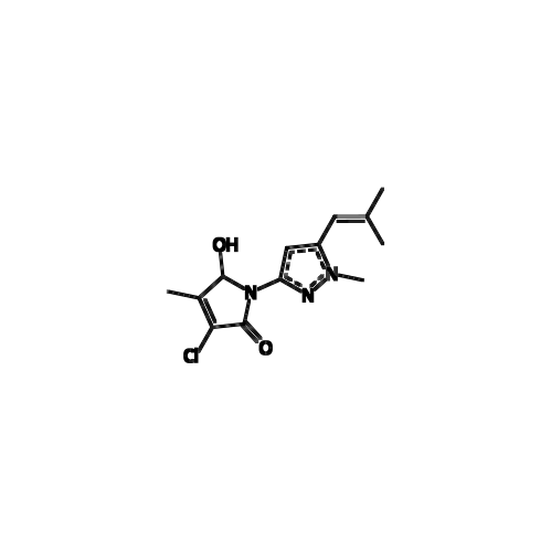 CC(C)=Cc1cc(N2C(=O)C(Cl)=C(C)C2O)nn1C